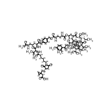 CCC[C@@H]([C@@H](CC(=O)N1C[C@@H](OC(=O)NCCNC(=O)OCc2ccc(NC(=O)[C@H](CCCNC(N)=O)NC(=O)[C@@H](NC(=O)CCCCCN3C(=O)C[C@H](SCC4(CC(=O)O)CC4)C3=O)C(C)C)cc2)C[C@H]1[C@H](OC)[C@@H](C)C(=O)NCC(=O)c1ccc(C)cc1C)OC)N(C)C(=O)[C@@H](NC(=O)[C@H](C(C)C)N(C)C)C(C)C